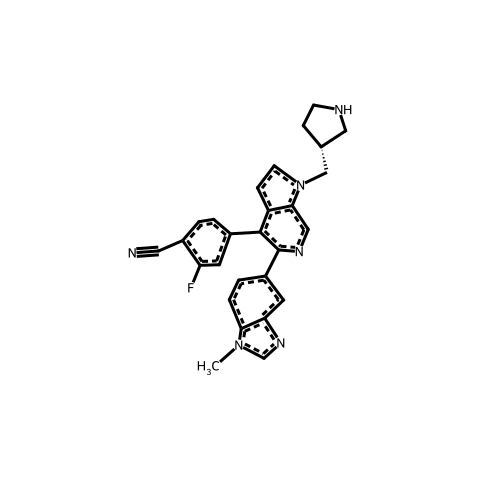 Cn1cnc2cc(-c3ncc4c(ccn4C[C@@H]4CCNC4)c3-c3ccc(C#N)c(F)c3)ccc21